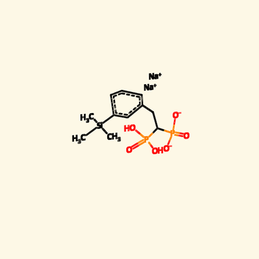 C[Si](C)(C)c1cccc(CC(P(=O)([O-])[O-])P(=O)(O)O)c1.[Na+].[Na+]